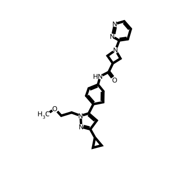 COCCn1nc(C2CC2)cc1-c1ccc(NC(=O)C2CN(c3cccnn3)C2)cc1